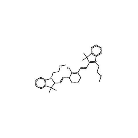 COCCN1c2ccccc2C(C)(C)C1C=CC1CCCC(C=CC2=[N+](CCOC)c3ccccc3C2(C)C)=C1Cl